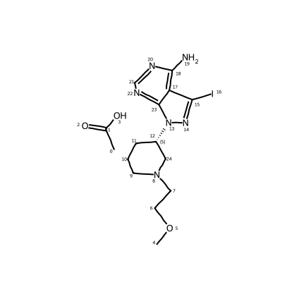 CC(=O)O.COCCN1CCC[C@H](n2nc(I)c3c(N)ncnc32)C1